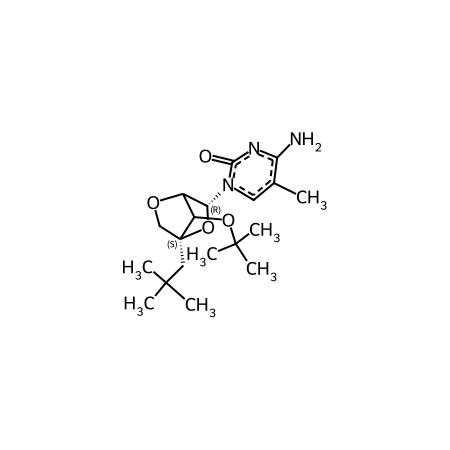 Cc1cn([C@@H]2O[C@@]3(CC(C)(C)C)COC2C3OC(C)(C)C)c(=O)nc1N